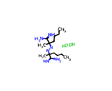 CCCCC(C)(N=NC(C)(CCCC)C(=N)N)C(=N)N.Cl.Cl